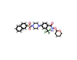 O=C(NOC1CCCCO1)c1ccc(N2CCN(S(=O)(=O)c3ccc4ccccc4c3)CC2)cc1C(F)(F)F